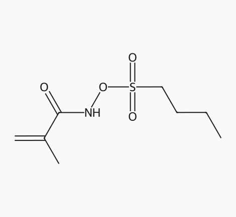 C=C(C)C(=O)NOS(=O)(=O)CCCC